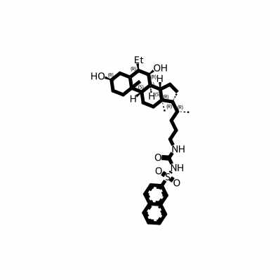 CC[C@@H]1C2C[C@H](O)CCC2(C)[C@H]2CC[C@]3(C)[C@@H]([C@H](C)CCCNC(=O)NS(=O)(=O)c4ccc5ccccc5c4)CC[C@H]3[C@@H]2[C@@H]1O